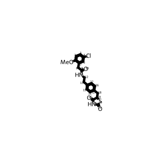 COc1ccc(Cl)cc1CC(=O)NCCc1ccc(CC2SC(=O)NC2=O)cc1